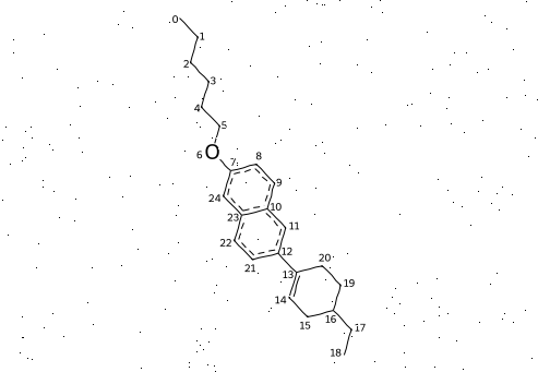 CCCCCCOc1ccc2cc(C3=CCC(CC)CC3)ccc2c1